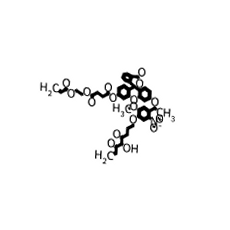 C=CC(=O)OCCOC(=O)CCC(=O)Oc1ccc2c(c1)Oc1cc(OC(C)c3cc(OC)c(OCCCC(=O)C(O)C(=O)C=C)cc3[N+](=O)[O-])ccc1C21OC(=O)c2ccccc21